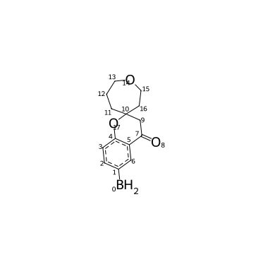 Bc1ccc2c(c1)C(=O)CC1(CCCOCC1)O2